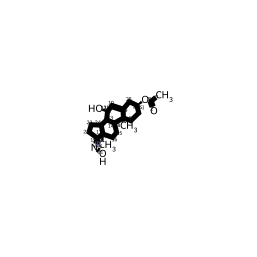 CC(=O)O[C@H]1CC[C@@]2(C)C(=C[C@H](O)C3C2CC[C@]2(C)/C(=N\O)CCC32)C1